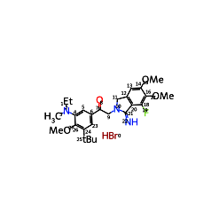 Br.CCN(C)c1cc(C(=O)CN2Cc3cc(OC)c(OC)c(F)c3C2=N)cc(C(C)(C)C)c1OC